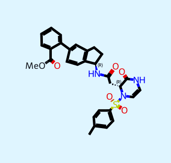 COC(=O)c1ccccc1-c1ccc2c(c1)CC[C@H]2NC(=O)C[C@@H]1C(=O)NC=CN1S(=O)(=O)c1ccc(C)cc1